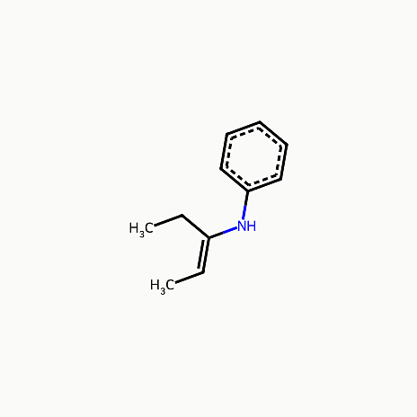 C/C=C(\CC)Nc1ccccc1